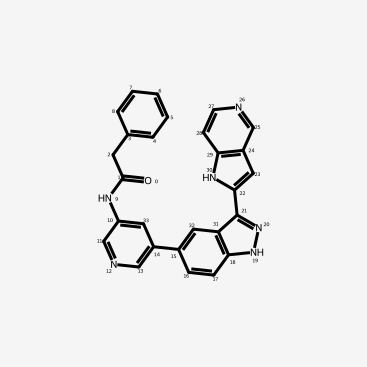 O=C(Cc1ccccc1)Nc1cncc(-c2ccc3[nH]nc(-c4cc5cnccc5[nH]4)c3c2)c1